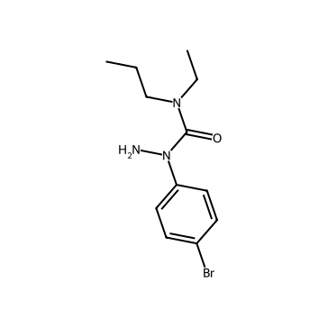 CCCN(CC)C(=O)N(N)c1ccc(Br)cc1